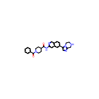 O=C(Nc1cc2cc(-c3cnc4n3CCNC4)ccc2cn1)C1CCN(C(=O)c2ccccc2)CC1